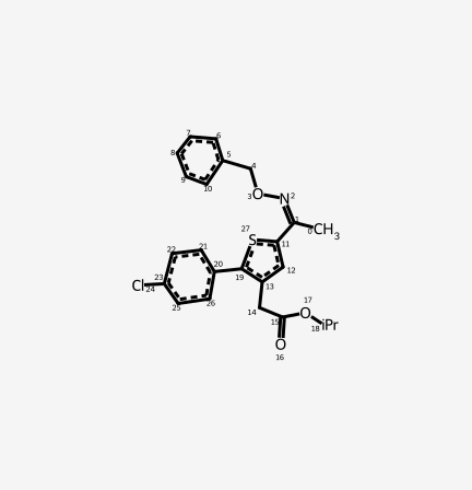 CC(=NOCc1ccccc1)c1cc(CC(=O)OC(C)C)c(-c2ccc(Cl)cc2)s1